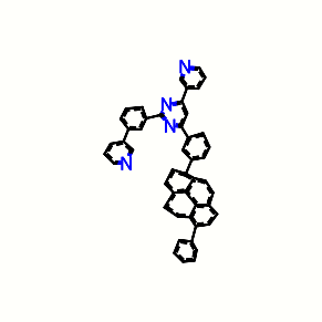 c1ccc(-c2ccc3ccc4c(-c5cccc(-c6cc(-c7cccnc7)nc(-c7cccc(-c8cccnc8)c7)n6)c5)ccc5ccc2c3c54)cc1